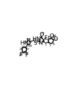 CCc1c(Cc2ccc3c(c2)OCO3)nc(SCc2cc(-c3ccc(F)c(F)c3)[nH]n2)[nH]c1=O